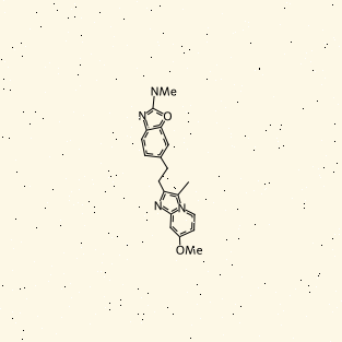 CNc1nc2ccc(CCc3nc4cc(OC)ccn4c3C)cc2o1